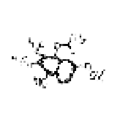 CCc1c(OC)c(O)c2ccc(OC)cc2c1OC(C)=O